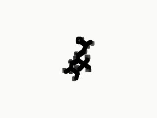 CCC(C)/C=C(/C=C/C(C)=O)C(C)(C)C